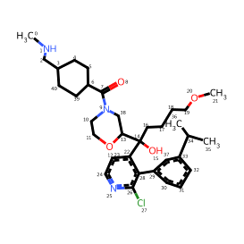 CNCC1CCC(C(=O)N2CCOC(C(O)(CCCCOC)c3ccnc(Cl)c3-c3cccc(C(C)C)c3)C2)CC1